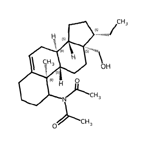 CC[C@H]1CC[C@H]2[C@@H]3CC=C4CCCC(N(C(C)=O)C(C)=O)[C@]4(C)[C@H]3CC[C@]12CO